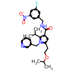 CC(C)OCCc1cc(C(=O)NCc2cc(F)cc([N+](=O)[O-])c2)c(C(C)C)n1Cc1cccnc1